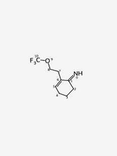 N=C1CCCC=C1CCOC(F)(F)F